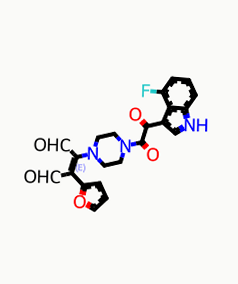 O=C/C(=C(\C=O)N1CCN(C(=O)C(=O)c2c[nH]c3cccc(F)c23)CC1)c1ccco1